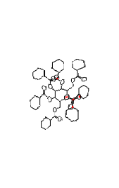 O=C(OCC(OC(=O)C1CCCCC1)C(OC(=O)C1CCCCC1)C(OC(=O)C1CCCCC1)C(OC(=O)C1CCCCC1)C(COC(=O)C1CCCCC1)OC(=O)C1CCCCC1)C1CCCCC1